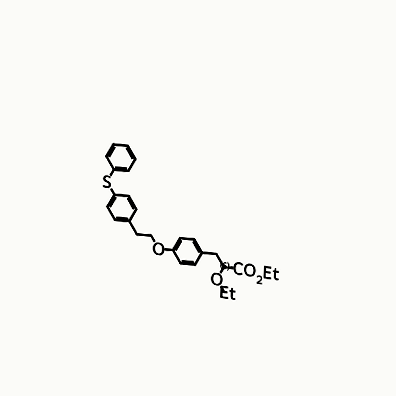 CCOC(=O)[C@H](Cc1ccc(OCCc2ccc(Sc3ccccc3)cc2)cc1)OCC